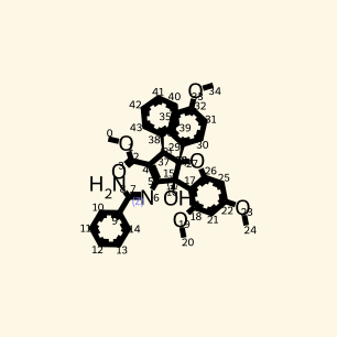 COC(=O)C1=C(/N=C(\N)c2ccccc2)[C@@]2(O)c3c(OC)cc(OC)cc3O[C@@]2(c2ccc(OC)cc2)[C@@H]1c1ccccc1